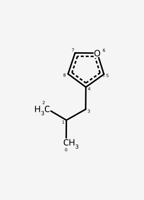 CC(C)Cc1[c]occ1